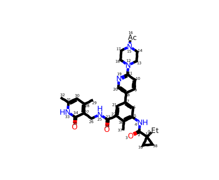 CCC1(C(=O)Nc2cc(-c3ccc(N4CCN(C(C)=O)CC4)nc3)cc(C(=O)NCc3c(C)cc(C)[nH]c3=O)c2C)CC1